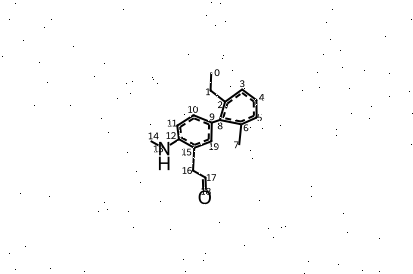 CCc1cccc(C)c1-c1ccc(NC)c(CC=O)c1